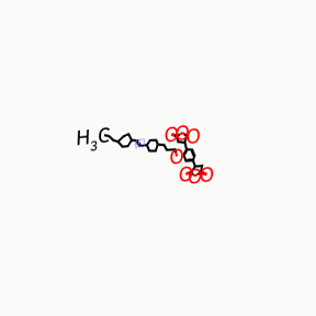 CCCC1CCC(/C=C/C2CCC(CCCOc3cc(C4CC(=O)OC4=O)ccc3C3CC(=O)OC3=O)CC2)CC1